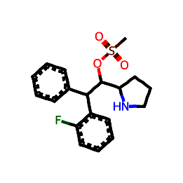 CS(=O)(=O)OC(C1CCCN1)C(c1ccccc1)c1ccccc1F